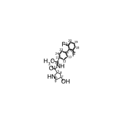 C[C@H](NC(=O)C1CC(O)CN1)c1ccc(-c2c(F)cccc2F)cc1